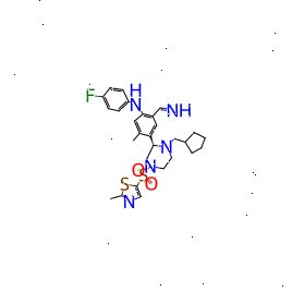 Cc1ncc(S(=O)(=O)N2CCN(CC3CCCC3)[C@H](c3cc(C=N)c(Nc4ccc(F)cc4)cc3C)C2)s1